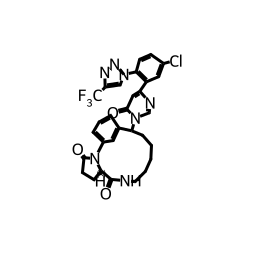 O=C1NCCCCCC(n2cnc(-c3cc(Cl)ccc3-n3cc(C(F)(F)F)nn3)cc2=O)c2cccc(c2)N2C(=O)CC[C@H]12